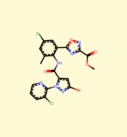 COC(=O)c1noc(-c2cc(Cl)cc(C)c2NC(=O)c2cc(Br)nn2-c2ncccc2Cl)n1